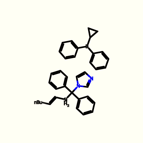 CCCCC=C[SiH2]C(c1ccccc1)(c1ccccc1)n1ccnc1.c1ccc(B(c2ccccc2)C2CC2)cc1